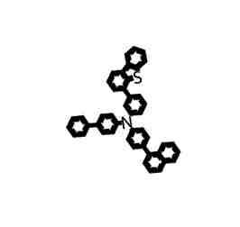 c1ccc(-c2ccc(N(c3ccc(-c4cccc5ccccc45)cc3)c3cccc(-c4cccc5c4sc4ccccc45)c3)cc2)cc1